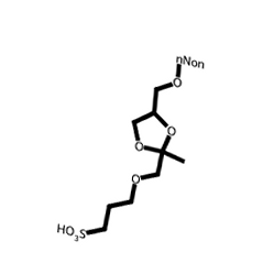 CCCCCCCCCOCC1COC(C)(COCCCS(=O)(=O)O)O1